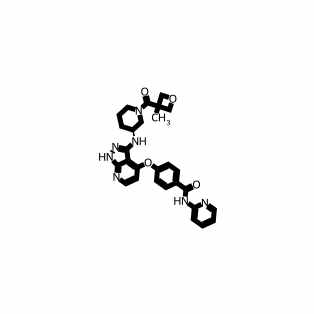 CC1(C(=O)N2CCC[C@@H](Nc3n[nH]c4nccc(Oc5ccc(C(=O)Nc6ccccn6)cc5)c34)C2)COC1